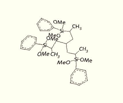 CO[Si](OC)(c1ccccc1)C(C)CC(CC(C)[Si](OC)(OC)c1ccccc1)CC(C)[Si](OC)(OC)c1ccccc1